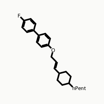 CCCCCC1CCC(/C=C/COc2ccc(-c3ccc(F)cc3)cc2)CC1